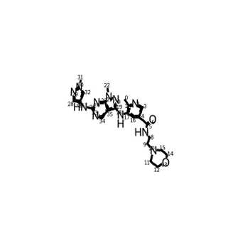 Cc1ncc(C(=O)NCCN2CCOCC2)cc1Nc1nn(C)c2nc(Nc3cnn(C)c3)ncc12